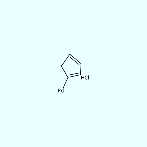 Cl.[Pd][C]1=CC=CC1